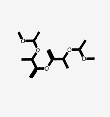 C=C(OC(=C)C(C)OC(C)OC)C(C)OC(C)OC